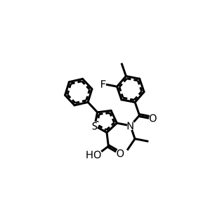 Cc1ccc(C(=O)N(c2cc(-c3ccccc3)sc2C(=O)O)C(C)C)cc1F